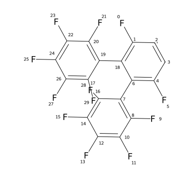 Fc1[c]cc(F)c(-c2c(F)c(F)c(F)c(F)c2F)c1-c1c(F)c(F)c(F)c(F)c1F